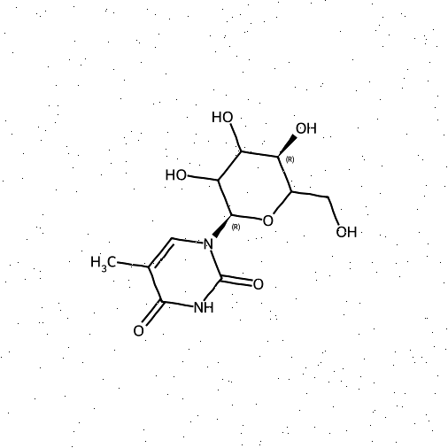 Cc1cn([C@@H]2OC(CO)[C@H](O)C(O)C2O)c(=O)[nH]c1=O